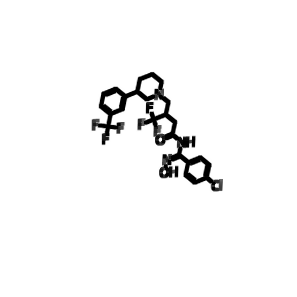 O=C(CC(CN1CCCC(c2cccc(C(F)(F)F)c2)C1)C(F)(F)F)NC(=NO)c1ccc(Cl)cc1